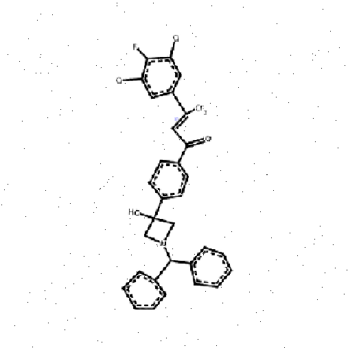 O=C(/C=C(/c1cc(Cl)c(F)c(Cl)c1)C(F)(F)F)c1ccc(C2(O)CN(C(c3ccccc3)c3ccccc3)C2)cc1